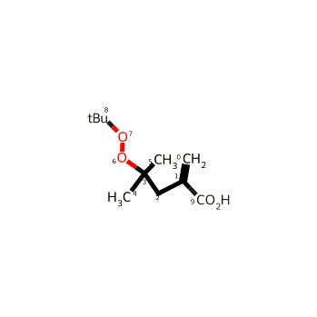 C=C(CC(C)(C)OOC(C)(C)C)C(=O)O